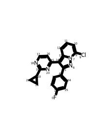 Fc1ccc(-c2nn3c(Cl)cccc3c2-c2ccnc(C3CC3)n2)cc1